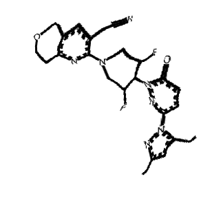 Cc1cc(C)n(-c2ccc(=O)n(C3C(F)CN(c4nc5c(cc4C#N)COCC5)CC3F)n2)n1